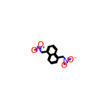 O=[N+]([O-])Cc1cccc2c(C[N+](=O)[O-])cccc12